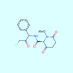 CON1C(=O)CCC(=O)[C@H]1C(=O)NC(C(=O)CF)c1ccccc1